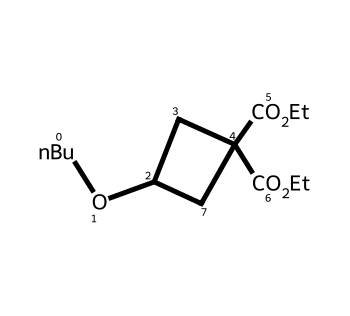 CCCCOC1CC(C(=O)OCC)(C(=O)OCC)C1